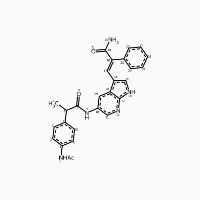 CC(=O)Nc1ccc(C(C)C(=O)Nc2cnc3[nH]cc(C=C(C(N)=O)c4ccccc4)c3c2)cc1